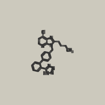 CCCCc1nc2c(Cl)ccnc2n1Cc1ccc(-c2ccccc2-c2nnn[nH]2)cc1